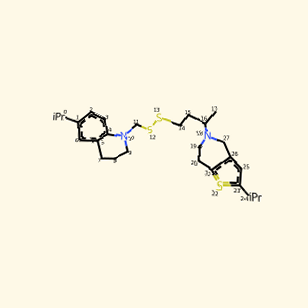 CC(C)c1ccc2c(c1)CCCN2CSSCCC(C)N1CCc2sc(C(C)C)cc2C1